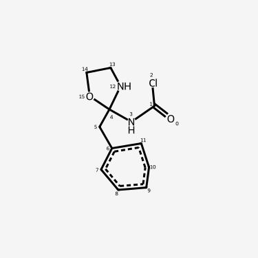 O=C(Cl)NC1(Cc2ccccc2)NCCO1